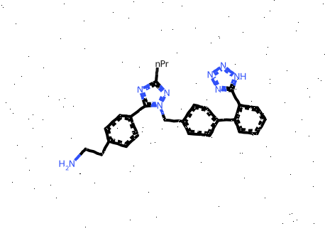 CCCc1nc(-c2ccc(CCN)cc2)n(Cc2ccc(-c3ccccc3-c3nnn[nH]3)cc2)n1